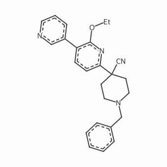 CCOc1nc(C2(C#N)CCN(Cc3ccccc3)CC2)ccc1-c1cccnc1